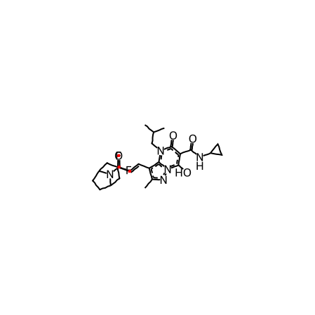 Cc1nn2c(O)c(C(=O)NC3CC3)c(=O)n(CC(C)C)c2c1/C=C/C(=O)N1C2CCC1CC(F)(F)C2